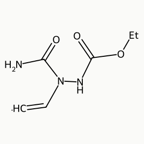 [CH]=CN(NC(=O)OCC)C(N)=O